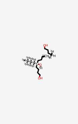 [2H]C([2H])([2H])CCCO.[2H]O[13C](CCC=[13CH2])(CCCCO)[13C]([2H])([2H])[13C]([2H])([2H])[13C]([2H])([2H])[2H]